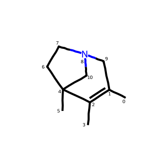 CC1=C(C)C2(C)CCN(C1)C2